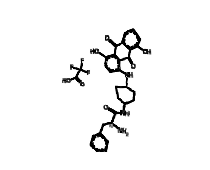 N[C@@H](Cc1ccccc1)C(=O)NC1CCC(Nc2ccc(O)c3c2C(=O)c2c(O)cccc2C3=O)CC1.O=C(O)C(F)(F)F